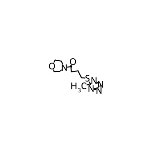 CC1(SCCCC(=O)N2CCOCC2)N=NN=N1